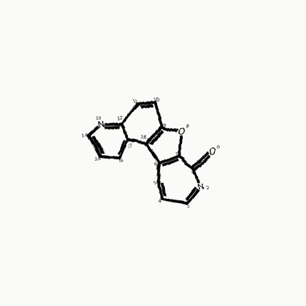 O=c1ncccc2c1oc1ccc3ncccc3c12